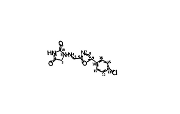 O=C1CN(N=Cc2ncc(-c3ccc(Cl)cc3)o2)C(=O)N1